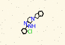 Clc1ccccc1-c1nc2c([nH]1)CN(C1Cc3ccccc3C1)CC2